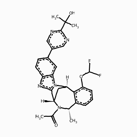 CC(=O)N1[C@@H](C)c2cccc(OC(F)F)c2[C@H]2C[C@H]1c1nc3ccc(-c4cnc(C(C)(C)O)nc4)cc3n12